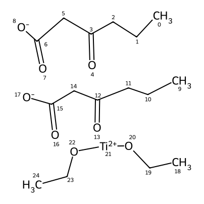 CCCC(=O)CC(=O)[O-].CCCC(=O)CC(=O)[O-].CC[O][Ti+2][O]CC